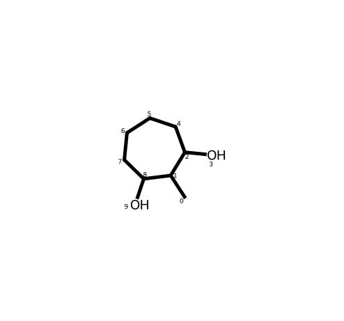 CC1C(O)CCCCC1O